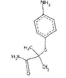 CC(C)(Oc1ccc(N)cc1)C(N)=O